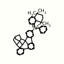 CC1(C)CCC(C)(C)c2c(N(c3ccccc3)c3ccc4c(c3)-c3cccc(-c5ccccc5)c3C43C4CC5CC6CC3C64C5)cccc21